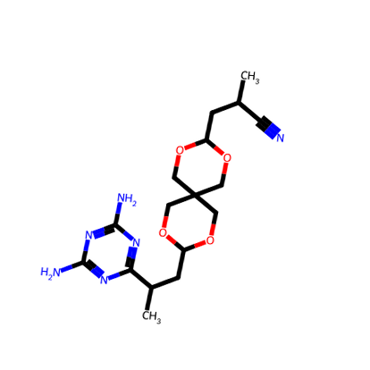 CC(C#N)CC1OCC2(CO1)COC(CC(C)c1nc(N)nc(N)n1)OC2